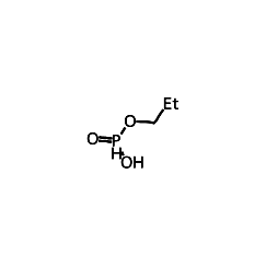 CCCO[PH](=O)O